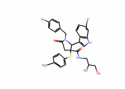 Cc1ccc(SC2(C(=O)NCC(O)CO)CC(=O)N(Cc3ccc(Br)cc3)C2c2c[nH]c3cc(Cl)ccc23)cc1